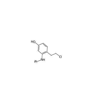 CC(C)Nc1cc(O)ccc1CCCl